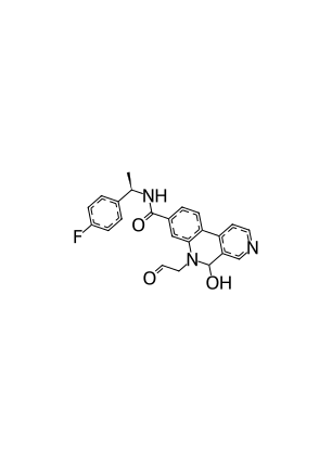 C[C@@H](NC(=O)c1ccc2c(c1)N(CC=O)C(O)c1cnccc1-2)c1ccc(F)cc1